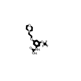 O=C(O)Nc1cc(OCCN2CCOCC2)cc(OC(F)(F)F)c1